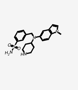 Cn1ccc2cc(N(Cc3cccc(S(N)(=O)=O)c3)C3CCNCC3)ccc21